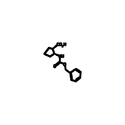 O=C(N[C@H]1CCC[C@H]1C(=O)O)OCc1ccccc1